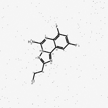 Nc1nc2c(F)cc(F)cc2c2nc(CCCl)nn12